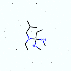 CCN(CC(C)C)[Si](CC)(NC)NC